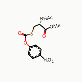 COC(=O)[C@H](CSC(=O)Oc1ccc([N+](=O)[O-])cc1)NC(C)=O